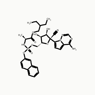 CCC(CC)COC(=O)[C@H](C)NP(=O)(OC[C@H]1O[C@@](C#N)(c2ccc3c(N)ncnn23)[C@H](O)[C@@H]1O)Oc1ccc2ccccc2c1